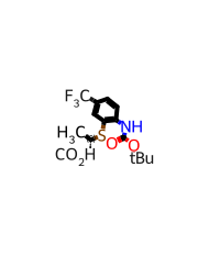 C[C@H](Sc1cc(C(F)(F)F)ccc1NC(=O)OC(C)(C)C)C(=O)O